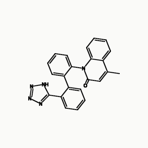 Cc1cc(=O)n(-c2ccccc2-c2ccccc2-c2nnn[nH]2)c2ccccc12